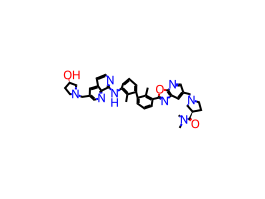 Cc1c(Nc2nccc3cc(CN4CC[C@H](O)C4)cnc23)cccc1-c1cccc(-c2nc3cc(CN4CC[C@@H](C(=O)N(C)C)C4)cnc3o2)c1C